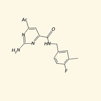 CC(=O)c1cc(C(=O)NCc2ccc(F)c(C)c2)nc(N)n1